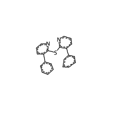 c1ccc(-c2cccnc2Sc2ncccc2-c2ccccc2)cc1